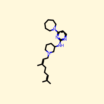 CC(C)=CCCC(C)=CCN1CCCC(Nc2nccc(N3CCCCCC3)n2)C1